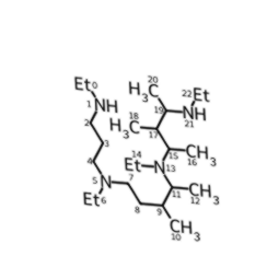 CCNCCCN(CC)CCC(C)C(C)N(CC)C(C)C(C)C(C)NCC